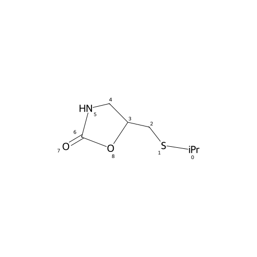 CC(C)SCC1CNC(=O)O1